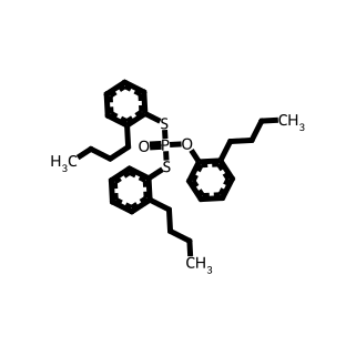 CCCCc1ccccc1OP(=O)(Sc1ccccc1CCCC)Sc1ccccc1CCCC